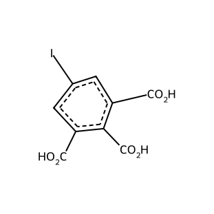 O=C(O)c1cc(I)cc(C(=O)O)c1C(=O)O